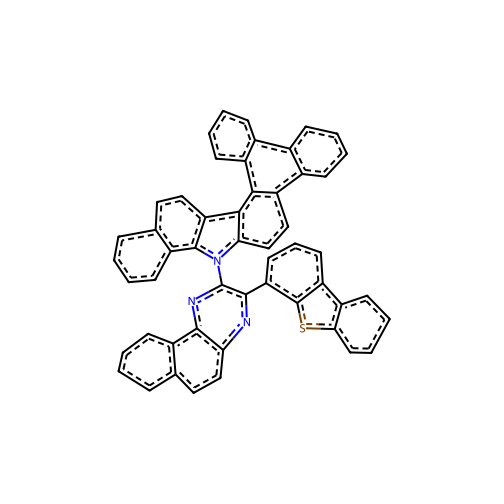 c1ccc2c(c1)ccc1nc(-c3cccc4c3sc3ccccc34)c(-n3c4ccc5c6ccccc6c6ccccc6c5c4c4ccc5ccccc5c43)nc12